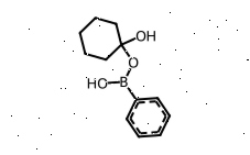 OB(OC1(O)CCCCC1)c1ccccc1